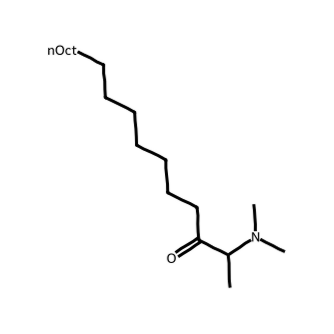 CCCCCCCCCCCCCCCC(=O)C(C)N(C)C